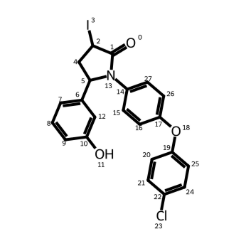 O=C1C(I)CC(c2cccc(O)c2)N1c1ccc(Oc2ccc(Cl)cc2)cc1